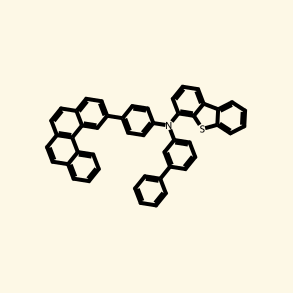 c1ccc(-c2cccc(N(c3ccc(-c4ccc5ccc6ccc7ccccc7c6c5c4)cc3)c3cccc4c3sc3ccccc34)c2)cc1